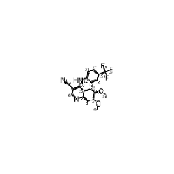 COc1cc2ncc(C#N)c(Nc3ccc(C(F)(F)F)cc3)c2cc1OC